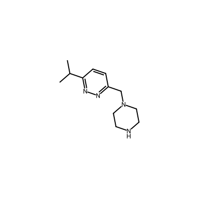 CC(C)c1ccc(CN2CCNCC2)nn1